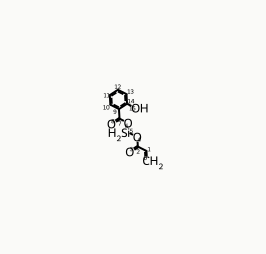 C=CC(=O)O[SiH2]OC(=O)c1ccccc1O